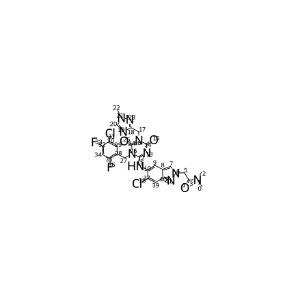 CN(C)C(=O)Cn1cc2cc(Nc3nc(=O)n(Cc4ncn(C)n4)c(=O)n3Cc3cc(Cl)c(F)cc3F)c(Cl)cc2n1